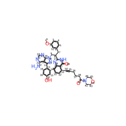 COc1cccc(CC(Cn2nc(-c3ccc(O)cc3)c3c(N)ncnc32)c2nc3cccc(C#CCCCC(=O)N4CCOCC4)c3c(=O)[nH]2)c1